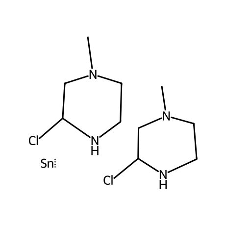 CN1CCNC(Cl)C1.CN1CCNC(Cl)C1.[Sn]